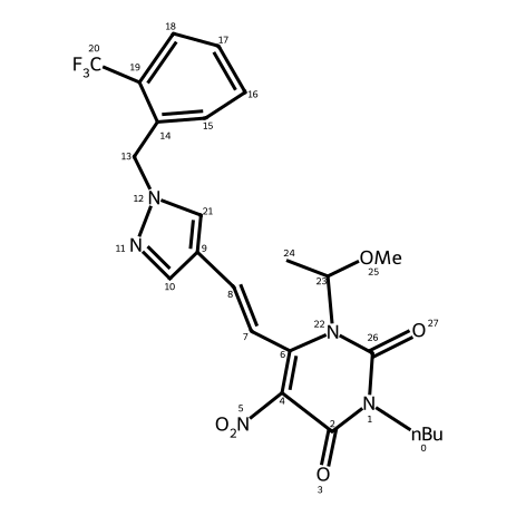 CCCCn1c(=O)c([N+](=O)[O-])c(C=Cc2cnn(Cc3ccccc3C(F)(F)F)c2)n(C(C)OC)c1=O